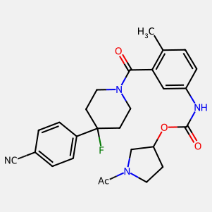 CC(=O)N1CCC(OC(=O)Nc2ccc(C)c(C(=O)N3CCC(F)(c4ccc(C#N)cc4)CC3)c2)C1